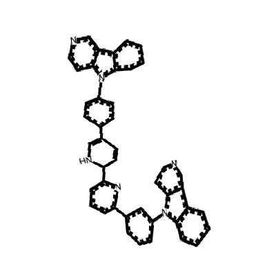 C1=CC(c2cccc(-c3cccc(-n4c5ccccc5c5cnccc54)c3)n2)NC=C1c1ccc(-n2c3ccccc3c3cnccc32)cc1